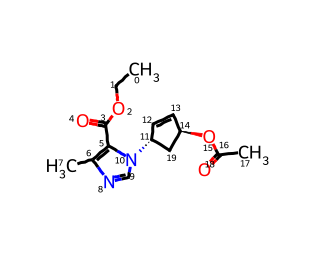 CCOC(=O)c1c(C)ncn1[C@@H]1C=C[C@@H](OC(C)=O)C1